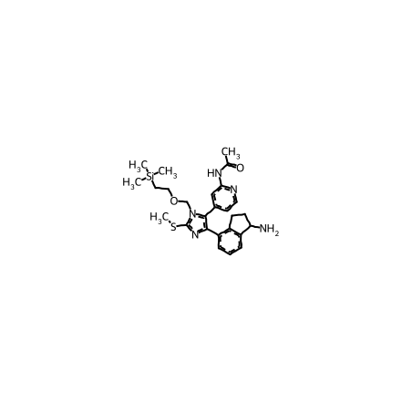 CSc1nc(-c2cccc3c2CCC3N)c(-c2ccnc(NC(C)=O)c2)n1COCC[Si](C)(C)C